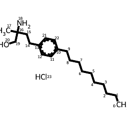 CCCCCCCCCCc1ccc(CCC(C)(N)CO)cc1.Cl